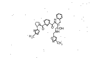 Cc1cc(CNC[C@@H](O)[C@H](Cc2ccccc2)NC(=O)c2cccc(C(=O)N3CCCC3c3nc(C)cs3)c2)on1